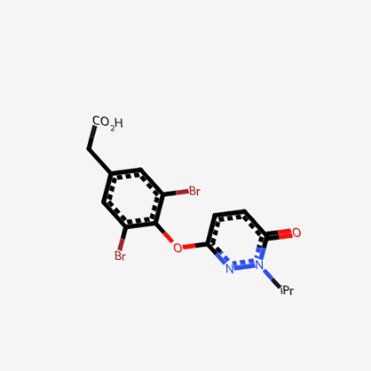 CC(C)n1nc(Oc2c(Br)cc(CC(=O)O)cc2Br)ccc1=O